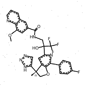 COc1cc(C(=O)NCC(O)(c2cc3c(c(-c4ccc(F)cc4)n2)OC[C@]3(C)c2cnn[nH]2)C(F)(F)F)cc2cccnc12